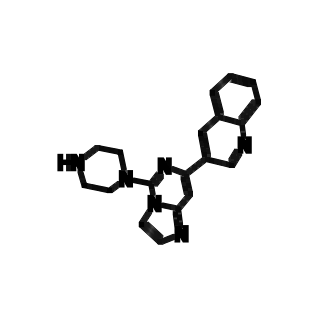 c1ccc2ncc(-c3cc4nccn4c(N4CCNCC4)n3)cc2c1